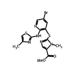 COC(=O)c1cnc(Sc2cc(Br)cnc2Nc2nc(C)cs2)n1C